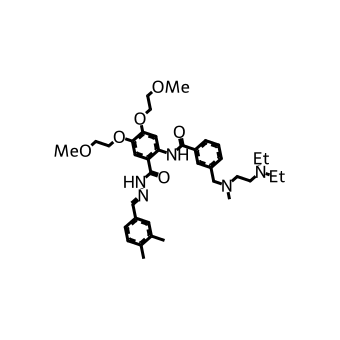 CCN(CC)CCN(C)Cc1cccc(C(=O)Nc2cc(OCCOC)c(OCCOC)cc2C(=O)NN=Cc2ccc(C)c(C)c2)c1